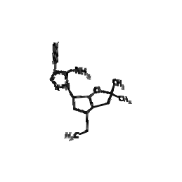 CCC1CC(n2ncc(C#N)c2N)C2OC(C)(C)CC12